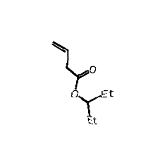 C=CCC(=O)OC(CC)CC